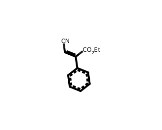 CCOC(=O)C(=CC#N)c1ccccc1